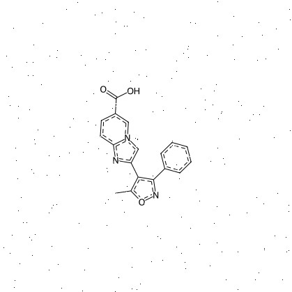 Cc1onc(-c2ccccc2)c1-c1cn2cc(C(=O)O)ccc2n1